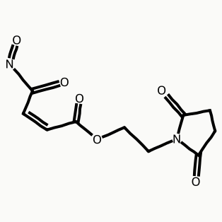 O=NC(=O)/C=C\C(=O)OCCN1C(=O)CCC1=O